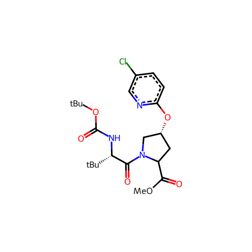 COC(=O)C1C[C@@H](Oc2ccc(Cl)cn2)CN1C(=O)[C@@H](NC(=O)OC(C)(C)C)C(C)(C)C